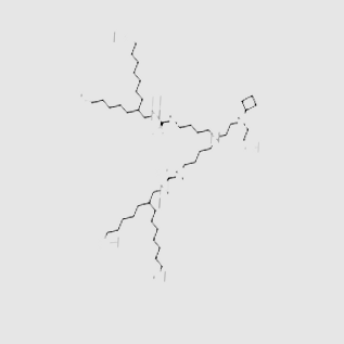 CCCCCCCCC(CCCCCC)CNC(=O)NCCCCN(CCCCNC(=O)NCC(CCCCCC)CCCCCCCC)CCN(CCO)C1CCC1